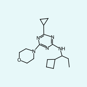 CCC(Nc1nc(C2CC2)nc(N2CCOCC2)n1)C1CCC1